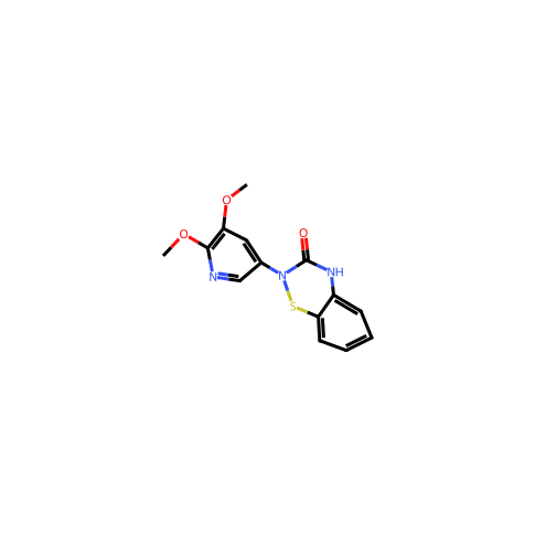 COc1cc(N2Sc3ccccc3NC2=O)cnc1OC